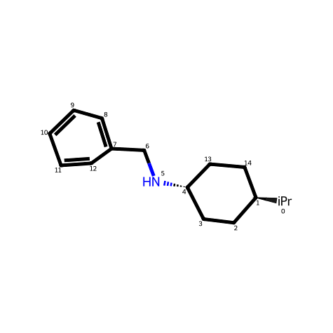 CC(C)[C@H]1CC[C@H](NCc2ccccc2)CC1